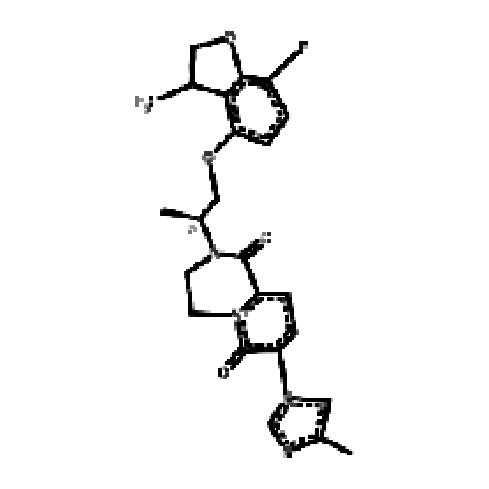 Cc1cn(-c2ccc3n(c2=O)CCN([C@@H](C)COc2ccc(F)c4c2C(C(F)(F)F)CO4)C3=O)cn1